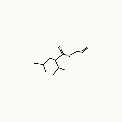 C=CCOC(=O)C(CC(C)C)C(C)C